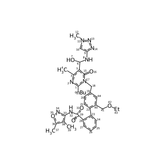 CCCCc1nc(C)c(C(O)Nc2cn(C)nn2)c(=O)n1Cc1ccc(-c2ccccc2S(=O)(=O)Nc2noc(C)c2C)c(COCC)c1